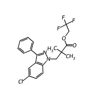 CC(C)(Cn1nc(-c2ccccc2)c2cc(Cl)ccc21)C(=O)OCC(F)(F)F